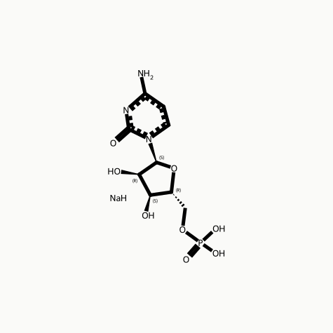 Nc1ccn([C@H]2O[C@H](COP(=O)(O)O)[C@@H](O)[C@H]2O)c(=O)n1.[NaH]